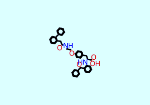 O=C(Cc1ccccc1-c1ccccc1)NCCOc1ccc(CC(Nc2ccccc2C(=O)c2ccccc2)C(=O)O)cc1